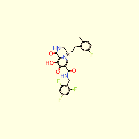 Cc1ccc(F)cc1CC[C@@H]1CNC(=O)c2c(O)c(=O)c(C(=O)NCc3c(F)cc(F)cc3F)cn21